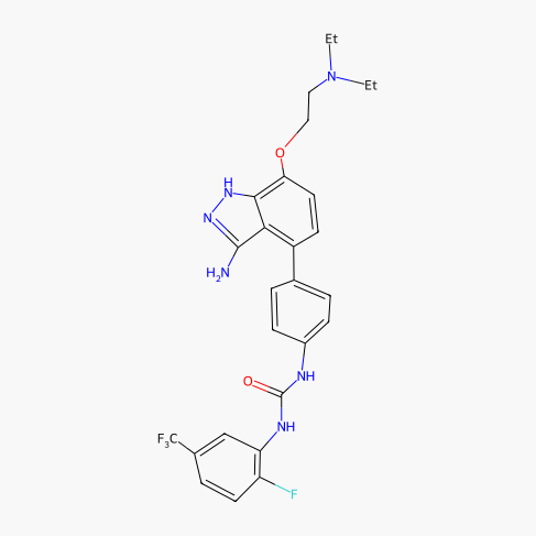 CCN(CC)CCOc1ccc(-c2ccc(NC(=O)Nc3cc(C(F)(F)F)ccc3F)cc2)c2c(N)n[nH]c12